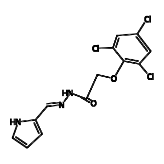 O=C(COc1c(Cl)cc(Cl)cc1Cl)NN=Cc1ccc[nH]1